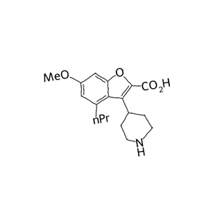 CCCc1cc(OC)cc2oc(C(=O)O)c(C3CCNCC3)c12